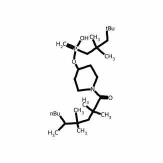 C=P(O)(CC(C)(C)CC(C)(C)C)OC1CCN(C(=O)C(C)(C)CC(C)(C)C(C)CCCC)CC1